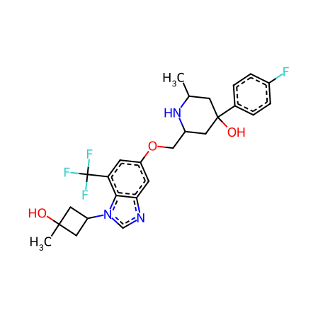 CC1CC(O)(c2ccc(F)cc2)CC(COc2cc(C(F)(F)F)c3c(c2)ncn3C2CC(C)(O)C2)N1